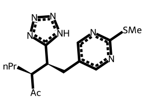 CCC[C@H](C(C)=O)[C@H](Cc1cnc(SC)nc1)c1nnn[nH]1